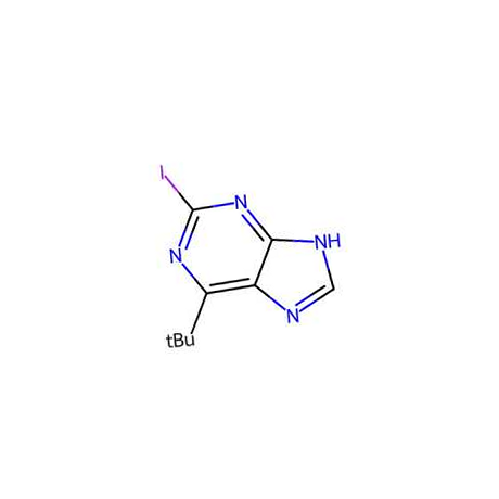 CC(C)(C)c1nc(I)nc2[nH]cnc12